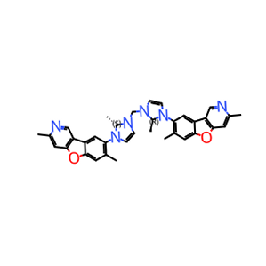 Cc1cc2oc3cc(C)c(N4C=CN(CN5C=CN(c6cc7c(cc6C)oc6cc(C)ncc67)[C@H]5C)[C@H]4C)cc3c2cn1